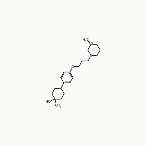 C[C@H]1CCCN(CCCOc2ccc(C3CCC(C)(O)CC3)cc2)C1